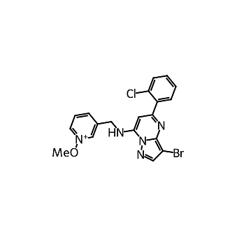 CO[n+]1cccc(CNc2cc(-c3ccccc3Cl)nc3c(Br)cnn23)c1